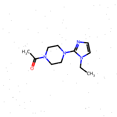 CCn1ccnc1N1CCN(C(C)=O)CC1